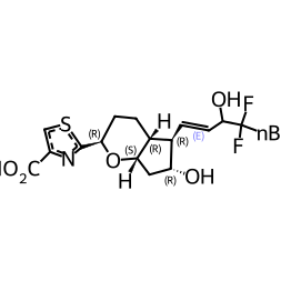 CCCCC(F)(F)C(O)/C=C/[C@@H]1[C@H]2CC[C@H](c3nc(C(=O)O)cs3)O[C@H]2C[C@H]1O